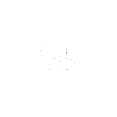 Cc1cncnc1-c1cccc[n+]1C